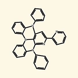 c1ccc(N2c3ccccc3B3c4ccccc4N(c4ccccc4)c4nc(-c5ccccn5)cc2c43)cc1